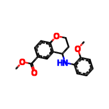 COC(=O)c1ccc2c(c1)C(Nc1ccccc1OC)CCO2